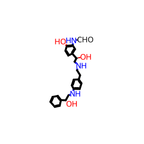 O=CNc1cc([C@@H](O)CNCCc2ccc(NC[C@@H](O)c3ccccc3)cc2)ccc1O